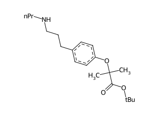 CCCNCCCc1ccc(OC(C)(C)C(=O)OC(C)(C)C)cc1